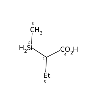 CCC([SiH2]C)C(=O)O